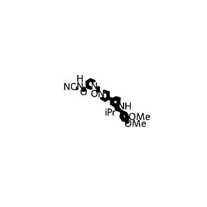 COc1ccc(-c2[nH]c3ccc(C4CCN(C(=O)CN5CCC[C@H](C(=O)NCC#N)C5)CC4)cc3c2C(C)C)cc1OC